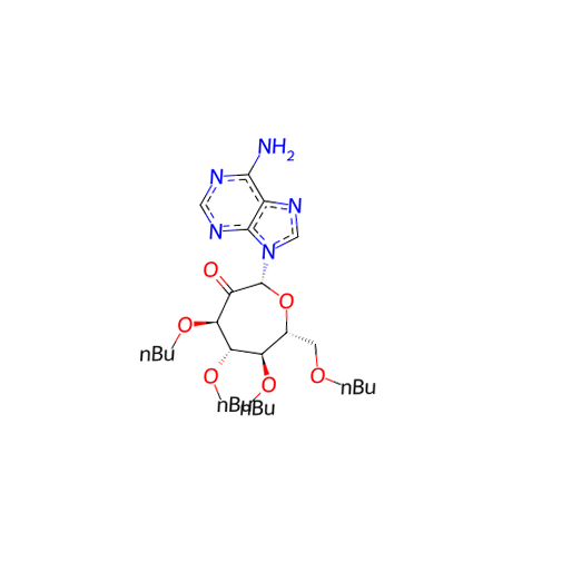 CCCCOC[C@H]1O[C@@H](n2cnc3c(N)ncnc32)C(=O)[C@H](OCCCC)[C@@H](OCCCC)[C@@H]1OCCCC